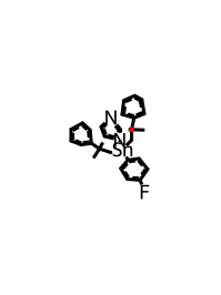 CC(C)([CH2][Sn]([CH2]C(C)(C)c1ccccc1)([c]1ccc(F)cc1)[n]1ccnc1)c1ccccc1